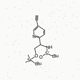 C#Cc1ccc(C(CO[Si](C)(C)C(C)(C)C)N[S+]([O-])C(C)(C)C)nc1